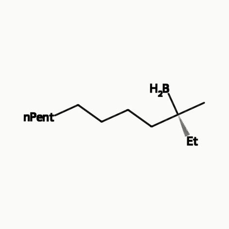 B[C@](C)(CC)CCCCCCCCC